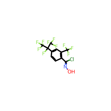 ON=C(Cl)c1ccc(C(F)(C(F)(F)F)C(F)(F)F)cc1C(F)(F)F